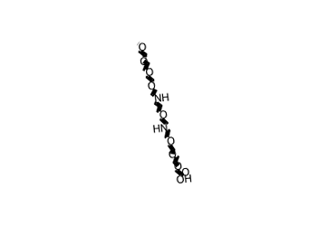 COCCOCCOCCOCCNCCCOCCNCCOCCOCCOCC(=O)O